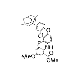 COC(=O)c1cc(OC)ccc1Nc1ccc(Oc2ccc(C34CC5CC(C)(CC(C)(C5)C3)C4)cc2Cl)cc1F